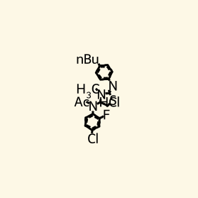 CCCCc1ccc(N=C2SCC(N(C(C)=O)c3ccc(Cl)cc3F)N2C)cc1.Cl